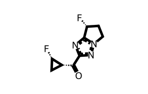 O=C(c1nc2n(n1)CC[C@H]2F)[C@@H]1C[C@@H]1F